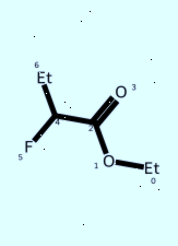 CCOC(=O)C(F)CC